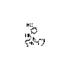 Oc1cccc(Nc2nc(-c3cccnc3)nc3sccc23)c1